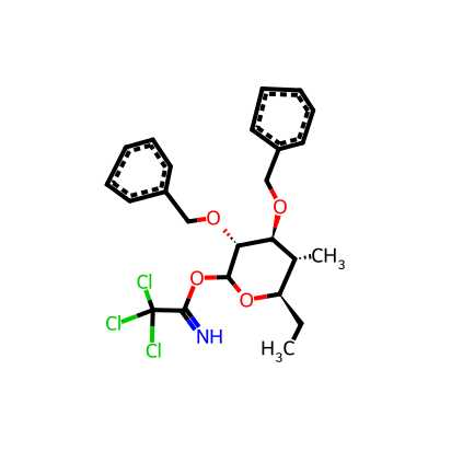 CC[C@H]1OC(OC(=N)C(Cl)(Cl)Cl)[C@H](OCc2ccccc2)[C@@H](OCc2ccccc2)[C@@H]1C